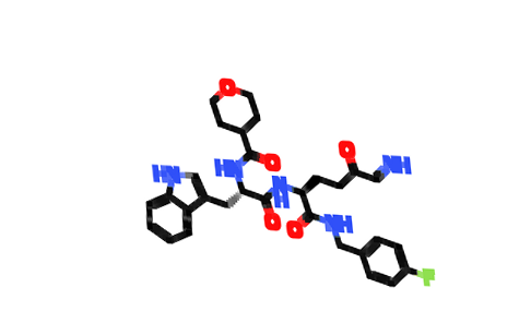 N=CC(=O)CC[C@H](NC(=O)[C@H](Cc1c[nH]c2ccccc12)NC(=O)C1CCOCC1)C(=O)NCc1ccc(F)cc1